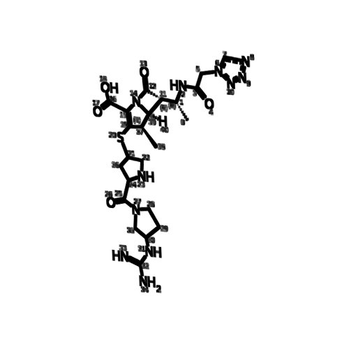 C[C@@H](NC(=O)Cn1cnnn1)[C@H]1C(=O)N2C(C(=O)O)=C(SC3CNC(C(=O)N4CCC(NC(=N)N)C4)C3)[C@H](C)[C@H]12